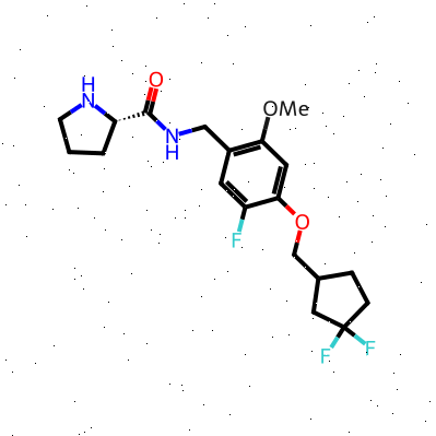 COc1cc(OCC2CCC(F)(F)C2)c(F)cc1CNC(=O)[C@@H]1CCCN1